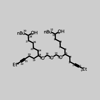 CCC#CCCC(CCCCC(O)CCCC)OCOCOC(CCC#CCC)CCCCC(O)CCCC